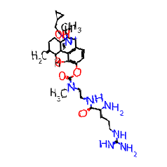 C=C1CC[C@@]2(O)[C@H]3Cc4ccc(OC(=O)N(C)CCNC(=O)[C@@H](N)CCCNC(=N)N)c5c4[C@@]2(CC[N+]3(C)CC2CC2)[C@H]1O5